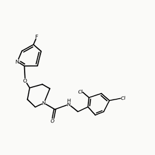 O=C(NCc1ccc(Cl)cc1Cl)N1CCC(Oc2ccc(F)cn2)CC1